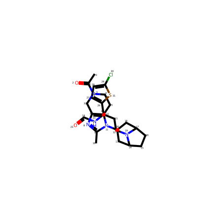 CC(=O)N1CCc2c(nc(C)n2C2CC3CCC(C2)N3CCC(NC=O)c2ccc(Cl)s2)C1